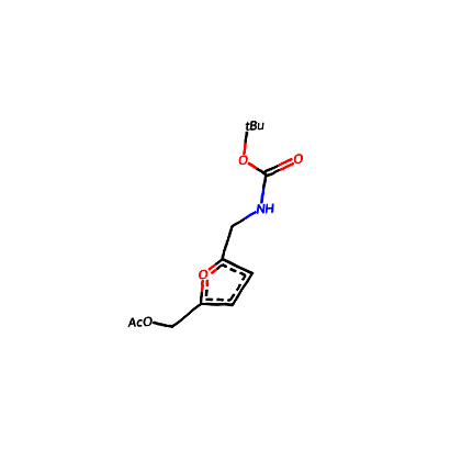 CC(=O)OCc1ccc(CNC(=O)OC(C)(C)C)o1